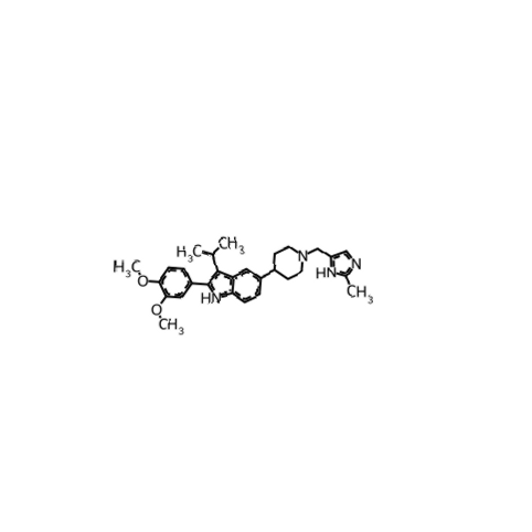 COc1ccc(-c2[nH]c3ccc(C4CCN(Cc5cnc(C)[nH]5)CC4)cc3c2C(C)C)cc1OC